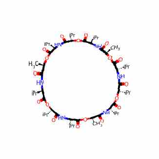 CC(C)[C@@H]1NC(=O)[C@H](C(C)C)OC(=O)[C@@H](C(C)C)NC(=O)[C@@H](C)OC(=O)[C@@H](C(C)C)NC(=O)[C@H](C(C)C)OC(=O)[C@@H](C(C)C)NC(=O)[C@@H](C)OC(=O)[C@H](C(C)C)NC(=O)[C@H](C(C)C)OC(=O)[C@H](C(C)C)NC(=O)[C@H](C)OC1=O